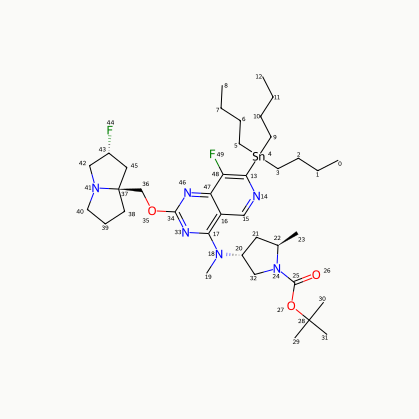 CCC[CH2][Sn]([CH2]CCC)([CH2]CCC)[c]1ncc2c(N(C)[C@@H]3C[C@@H](C)N(C(=O)OC(C)(C)C)C3)nc(OC[C@@]34CCCN3C[C@H](F)C4)nc2c1F